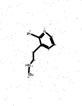 CC(C)c1ncccc1CCNC(C)(C)C